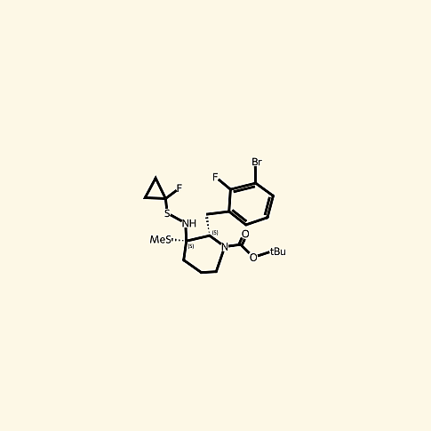 CS[C@@]1(NSC2(F)CC2)CCCN(C(=O)OC(C)(C)C)[C@H]1Cc1cccc(Br)c1F